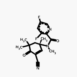 CN(C(=O)c1ncc(F)cc1F)[C@]1(C)C=C(C#N)C(=O)C(C)(C)C1